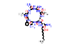 CCCCCCC[C@@H](O)CC(=O)N[C@H](CCN)C(=O)N[C@H]1CCNC(=O)[C@H]([C@@H](C)O)NC(=O)[C@H](CN)NC(=O)[C@H](CCN)NC(=O)[C@H](CC(C)C)NC(=O)[C@@H](Cc2ccccc2)NC(=O)[C@H](CCN)NC1=O